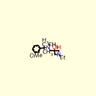 CCN1CC(O)(CN(C)C(C)(C)c2ccccc2OC)C1